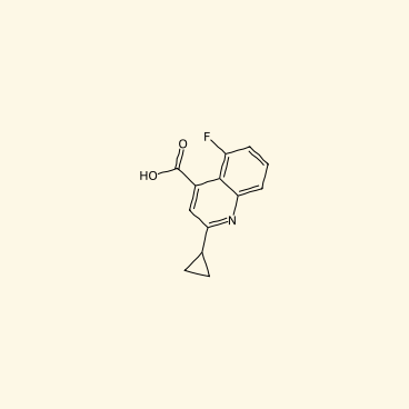 O=C(O)c1cc(C2CC2)nc2cccc(F)c12